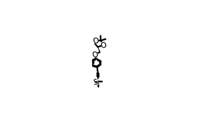 CC1(C)OC[C@H](COc2ccc(C#C[Si](C)(C)C)cc2)O1